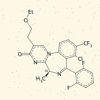 CCOCCc1cn2c(nc1=O)[C@H](C)N=C(c1c(F)cccc1F)c1c-2ccc(C(F)(F)F)c1Cl